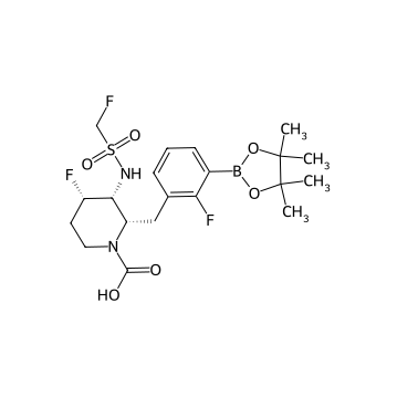 CC1(C)OB(c2cccc(C[C@H]3[C@@H](NS(=O)(=O)CF)[C@@H](F)CCN3C(=O)O)c2F)OC1(C)C